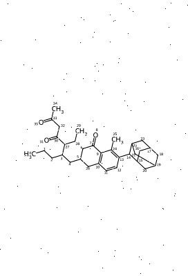 CCCC(CC1CC(=O)c2c(ccc(C3C4CC5CC(C4)CC3C5)c2C)C1)C(CC)C(=O)CC(C)=O